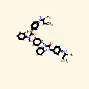 CCC(C)Nc1ccc(NC(=O)N(C[C@H]2CC[C@H](CN(C(=O)Nc3ccc(NC(C)CC)cc3)C3CCCCC3)CC2)C2CCCCC2)cc1